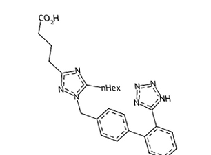 CCCCCCc1nc(CCCC(=O)O)nn1Cc1ccc(-c2ccccc2-c2nnn[nH]2)cc1